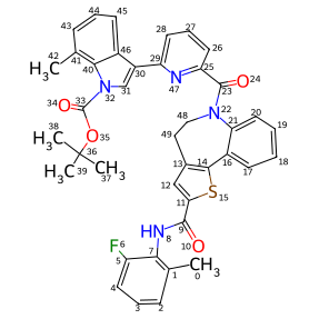 Cc1cccc(F)c1NC(=O)c1cc2c(s1)-c1ccccc1N(C(=O)c1cccc(-c3cn(C(=O)OC(C)(C)C)c4c(C)cccc34)n1)CC2